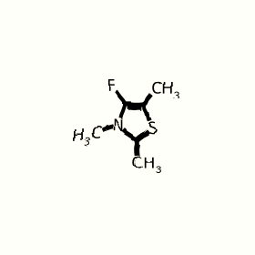 CC1=C(F)N(C)C(C)S1